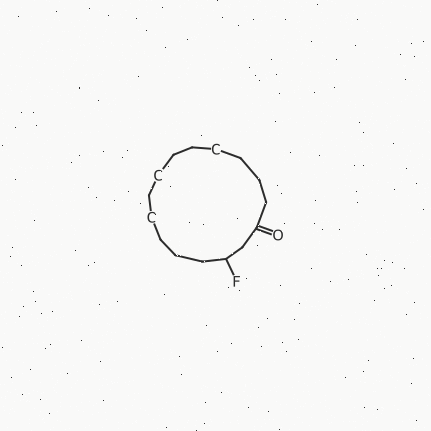 O=C1CCCCCCCCCCCCC(F)C1